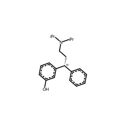 CC(C)N(CC[C@H](c1ccccc1)c1cccc(O)c1)C(C)C